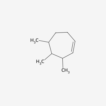 CC1C=CCCC(C)C1C